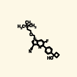 C[Si](C)(C)CCOCn1cc(C#N)c2nc(-c3ccc(C4(O)CCC4)cc3)c(F)cc21